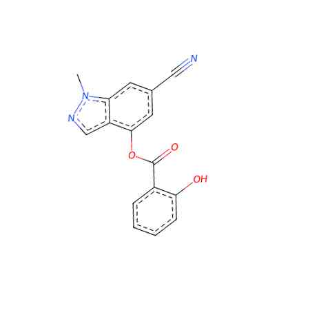 Cn1ncc2c(OC(=O)c3ccccc3O)cc(C#N)cc21